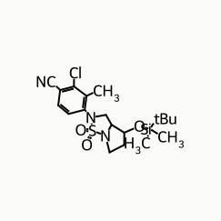 Cc1c(N2CC3C(O[Si](C)(C)C(C)(C)C)CCN3S2(=O)=O)ccc(C#N)c1Cl